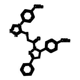 COc1ccc(C2CC(c3ccccc3)=NN2C(=O)CSc2nncn2-c2ccc(OC)cc2)cc1